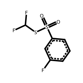 O=S(=O)(SC(F)F)c1cccc(F)c1